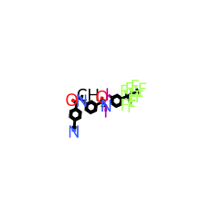 CN(C(=O)c1ccc(C#N)cc1)c1cccc(C(=O)N(I)c2ccc(C(F)(C(F)(F)F)C(F)(F)C(F)(F)F)cc2I)c1